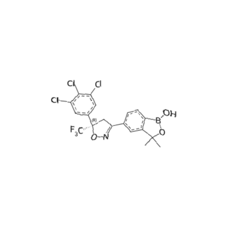 CC1(C)OB(O)c2ccc(C3=NO[C@](c4cc(Cl)c(Cl)c(Cl)c4)(C(F)(F)F)C3)cc21